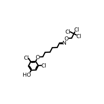 Oc1cc(Cl)c(OCCCCCC=NOCC(Cl)(Cl)Cl)c(Cl)c1